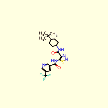 CC(C)(C)[C@H]1CC[C@@H](NC(=O)c2nnsc2NC(=O)c2cncc(C(F)(F)F)c2)CC1